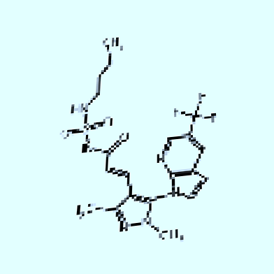 CCCCNS(=O)(=O)NC(=O)C=Cc1c(C)nn(C)c1-n1ccc2cc(C(F)(F)F)cnc21